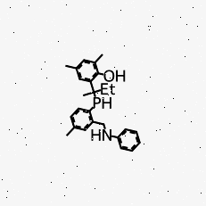 CCC(C)(Pc1ccc(C)cc1CNc1ccccc1)c1cc(C)cc(C)c1O